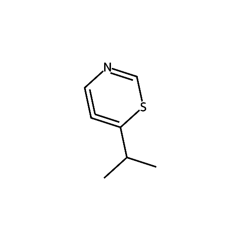 CC(C)C1=C=CN=CS1